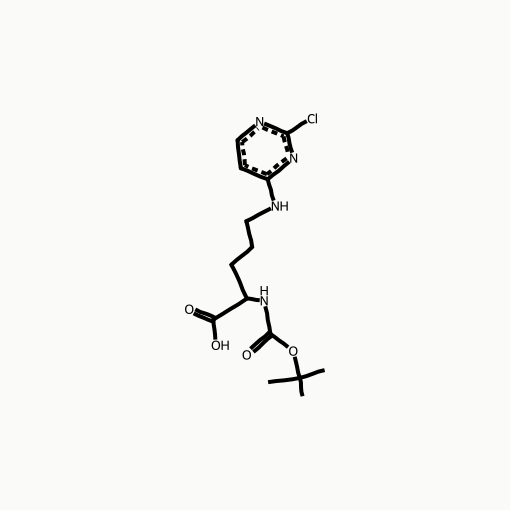 CC(C)(C)OC(=O)NC(CCCNc1ccnc(Cl)n1)C(=O)O